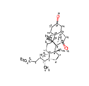 CCOC(=O)CC[C@@H](C)[C@H]1CC[C@H]2[C@@H]3C(=O)CC4CC(=O)CC[C@]4(C)[C@H]3CC[C@]12C